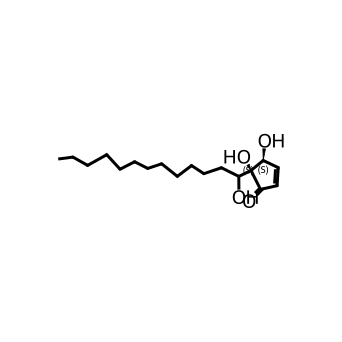 CCCCCCCCCCCCC(O)[C@@]1(O)C(=O)C=C[C@@H]1O